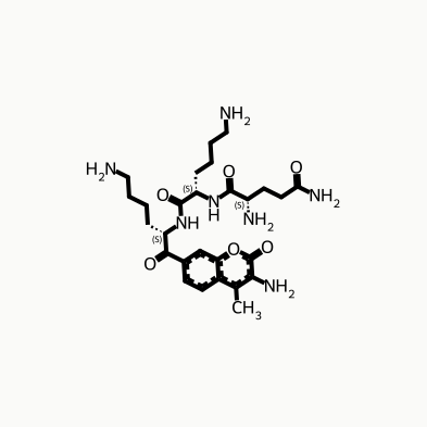 Cc1c(N)c(=O)oc2cc(C(=O)[C@H](CCCCN)NC(=O)[C@H](CCCCN)NC(=O)[C@@H](N)CCC(N)=O)ccc12